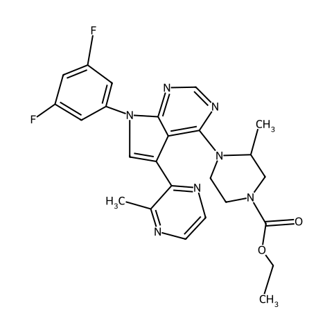 CCOC(=O)N1CCN(c2ncnc3c2c(-c2nccnc2C)cn3-c2cc(F)cc(F)c2)C(C)C1